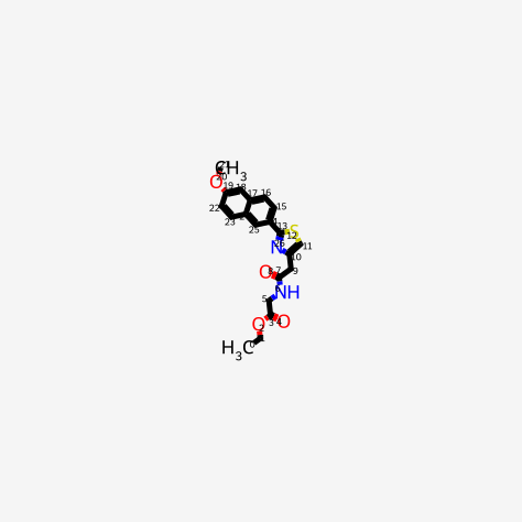 CCOC(=O)CNC(=O)Cc1csc(-c2ccc3cc(OC)ccc3c2)n1